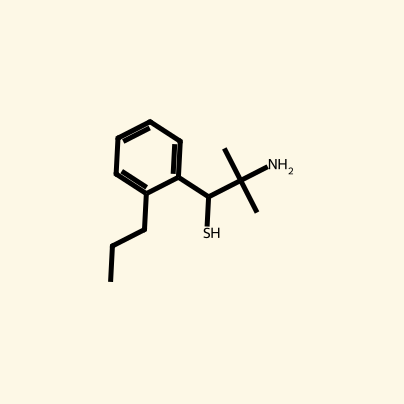 CCCc1ccccc1C(S)C(C)(C)N